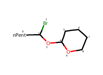 [CH2]CCCCC(Br)OC1CCCCO1